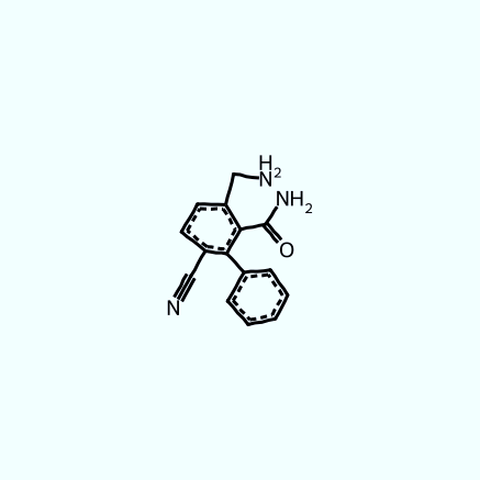 N#Cc1ccc(CN)c(C(N)=O)c1-c1ccccc1